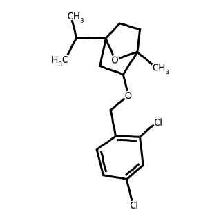 CC(C)C12CCC(C)(O1)C(OCc1ccc(Cl)cc1Cl)C2